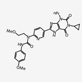 CCCn1c(=O)n(C2CC2)c(=O)c2[nH]c(-c3ccc(N(CCOC)C(=O)Nc4ccc(OC)cc4)nc3)nc21